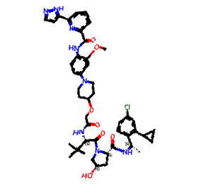 COc1cc(N2CCC(OCC(=O)N[C@H](C(=O)N3C[C@H](O)C[C@H]3C(=O)N[C@@H](C)c3ccc(Cl)cc3C3CC3)C(C)(C)C)CC2)ccc1NC(=O)c1cccc(-c2ccn[nH]2)n1